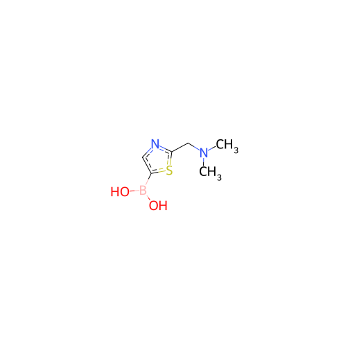 CN(C)Cc1ncc(B(O)O)s1